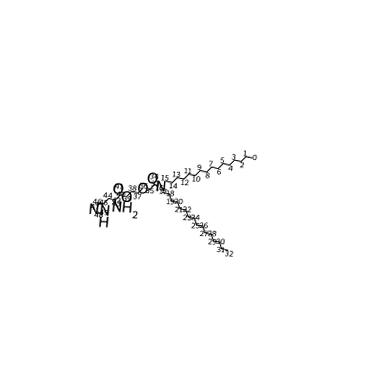 CCCCCCCCCCCCCCCCN(CCCCCCCCCCCCCCCC)C(=O)COCCOC(=O)C(N)Cc1cnc[nH]1